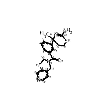 CC1(c2cccc(C(=O)N(CI)Cc3ccncc3)c2)CCSC(N)=N1